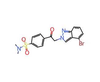 CN(C)S(=O)(=O)c1ccc(C(=O)Cn2cc3c(Br)cccc3n2)cc1